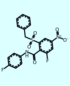 O=C(Nc1ccc(F)cc1)c1c(F)cc([N+](=O)[O-])cc1S(=O)(=O)Cc1ccccc1